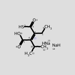 CC/C(C(=O)S)=C(/C(=O)O)C(C)C.[NaH].[NaH]